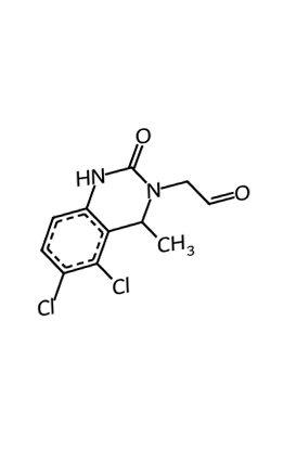 CC1c2c(ccc(Cl)c2Cl)NC(=O)N1CC=O